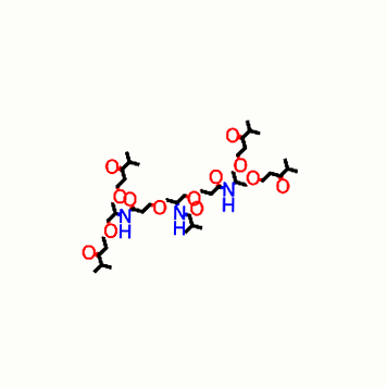 CC(C)C(=O)CCOCC(COCCC(=O)C(C)C)NC(=O)CCOCC(COCCC(=O)NC(COCCC(=O)C(C)C)COCCC(=O)C(C)C)NC(=O)C(C)C